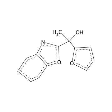 CC(O)(c1ccco1)c1nc2ccccc2o1